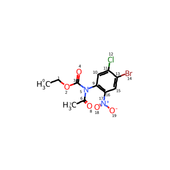 CCOC(=O)N(C(C)=O)c1cc(Cl)c(Br)cc1[N+](=O)[O-]